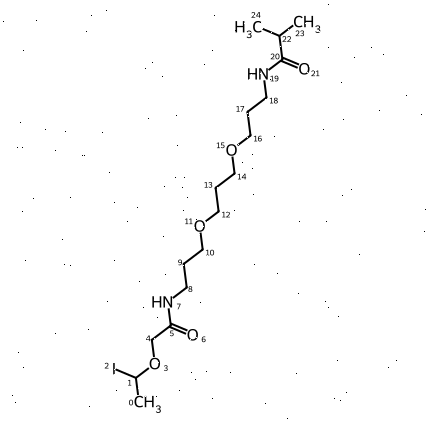 CC(I)OCC(=O)NCCCOCCCOCCCNC(=O)C(C)C